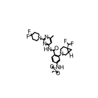 Cc1cc(NC(=O)c2ccc(NS(C)(=O)=O)cc2N2CC[C@]3(C(F)F)C[C@@H]3C2)nc(N2CCC(F)(F)CC2)n1